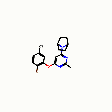 Cc1nc(Oc2cc(C#N)ccc2Br)cc(N2C3CCC2CC3)n1